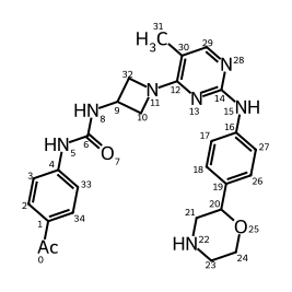 CC(=O)c1ccc(NC(=O)NC2CN(c3nc(Nc4ccc(C5CNCCO5)cc4)ncc3C)C2)cc1